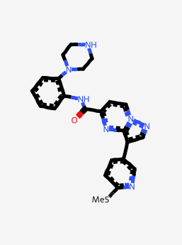 CSc1ccc(-c2cnn3ccc(C(=O)Nc4ccccc4N4CCNCC4)nc23)cn1